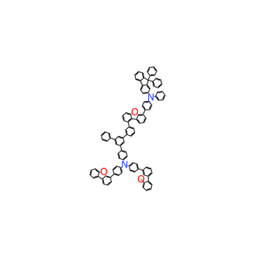 c1ccc(-c2cc(-c3ccc(N(c4ccc(-c5cccc6c5oc5ccccc56)cc4)c4ccc(-c5cccc6c5oc5ccccc56)cc4)cc3)cc(-c3cccc(-c4cccc5oc6c(-c7ccc(N(c8ccccc8)c8ccc9c(c8)C(c8ccccc8)(c8ccccc8)c8ccccc8-9)cc7)cccc6c45)c3)c2)cc1